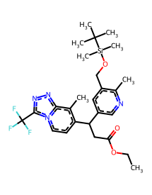 CCOC(=O)CC(c1cnc(C)c(CO[Si](C)(C)C(C)(C)C)c1)c1ccn2c(C(F)(F)F)nnc2c1C